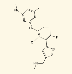 CNCc1cnn(-c2c(F)ccc(Nc3nc(C)cc(NC)n3)c2Cl)c1